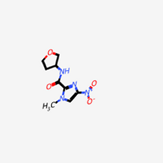 Cn1cc([N+](=O)[O-])nc1C(=O)NC1CCOC1